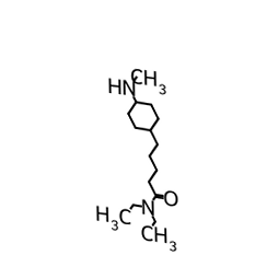 CCN(CC)C(=O)CCCCC1CCC(NC)CC1